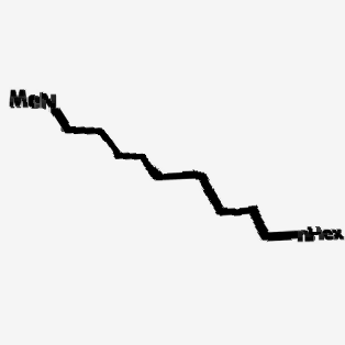 CCCCCCCCCCCCCC[CH]NC